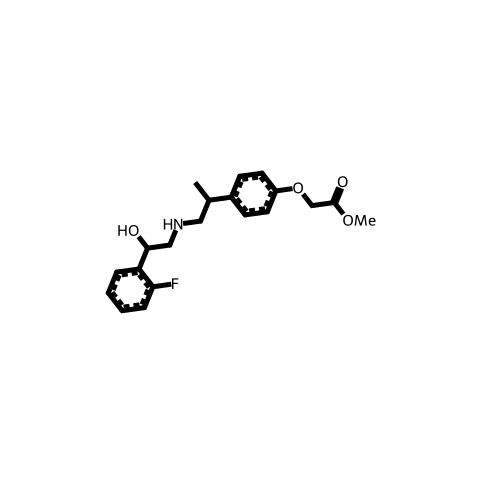 COC(=O)COc1ccc(C(C)CNCC(O)c2ccccc2F)cc1